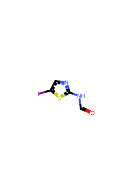 O=CNc1ncc(I)s1